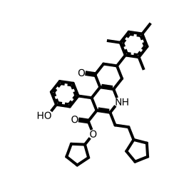 Cc1cc(C)c(C2CC(=O)C3=C(C2)NC(CCC2CCCC2)=C(C(=O)OC2CCCC2)C3c2cccc(O)c2)c(C)c1